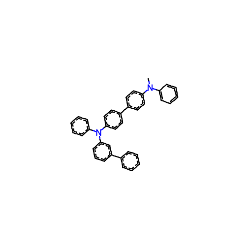 CN(C1=CC=C=C=C1)c1ccc(-c2ccc(N(c3ccccc3)c3cccc(-c4ccccc4)c3)cc2)cc1